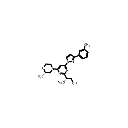 CO[C@@H](CO)c1nc(N2CCO[C@@H](C)C2)cc(-n2ccc(-c3cccc(C)c3)n2)n1